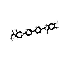 CC1(C(=O)O)CCN(c2ccc(-c3ccc(-c4nc5cc(Cl)c(Cl)cc5[nH]4)cn3)cn2)CC1